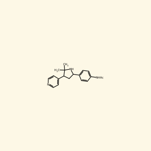 CC(=O)Nc1ccc(C2CC(c3ccncc3)C(C)(C)N2)cc1